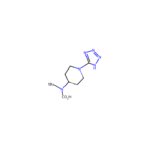 CC(C)(C)N(C(=O)O)C1CCN(c2nnn[nH]2)CC1